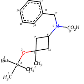 CC1(O[Si](C)(C)C(C)(C)C)CC(N(Cc2ccccc2)C(=O)O)C1